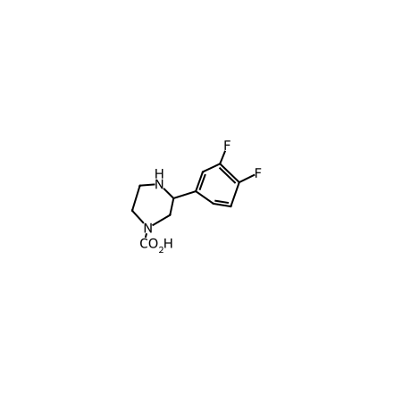 O=C(O)N1CCNC(c2ccc(F)c(F)c2)C1